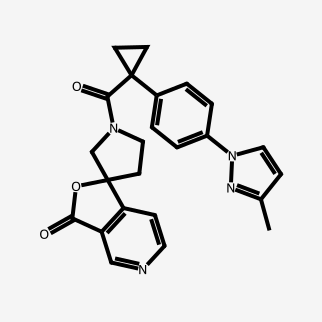 Cc1ccn(-c2ccc(C3(C(=O)N4CCC5(C4)OC(=O)c4cnccc45)CC3)cc2)n1